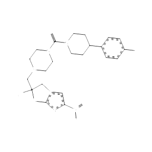 CC1(CN2CCN(C(=O)N3CCC(c4ccc(Cl)cc4)CC3)CC2)Cn2cc([N+](=O)[O-])nc2O1